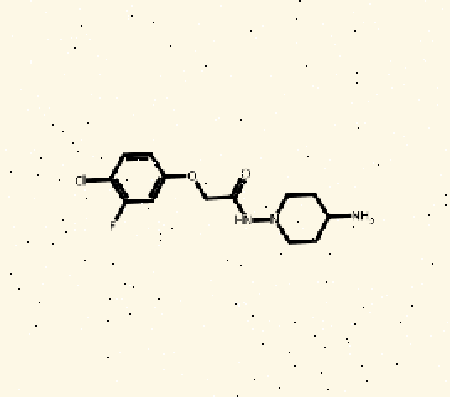 NC1CCN(NC(=O)COc2ccc(Cl)c(F)c2)CC1